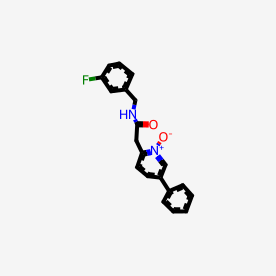 O=C(Cc1ccc(-c2ccccc2)c[n+]1[O-])NCc1cccc(F)c1